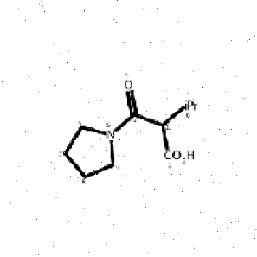 CC(C)C(C(=O)O)C(=O)N1CCCC1